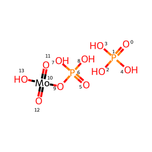 O=P(O)(O)O.O=P(O)(O)[O][Mo](=[O])(=[O])[OH]